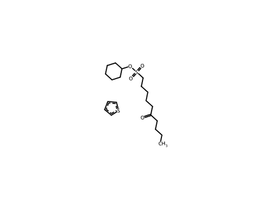 CCCCC(=O)CCCCCS(=O)(=O)OC1CCCCC1.c1ccsc1